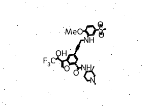 COc1ccc(S(C)(=O)=O)cc1NCC#Cc1cc(C(=O)N[C@H]2CCN(C)C[C@@H]2C)c2occ(C(O)C(F)(F)F)c2c1